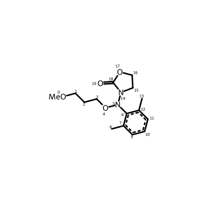 COCCCON(c1c(C)cccc1C)N1CCOC1=O